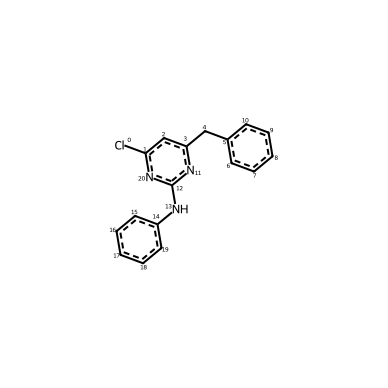 Clc1cc(Cc2ccccc2)nc(Nc2ccccc2)n1